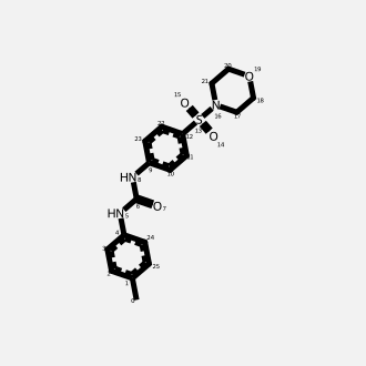 Cc1ccc(NC(=O)Nc2ccc(S(=O)(=O)N3CCOCC3)cc2)cc1